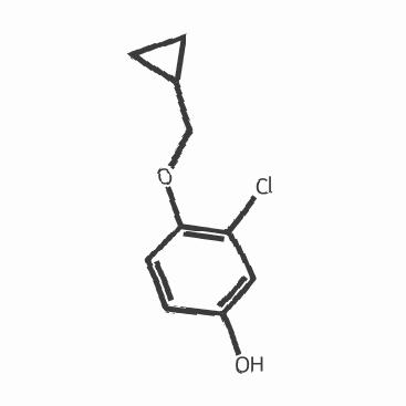 Oc1ccc(OCC2CC2)c(Cl)c1